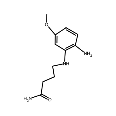 COc1ccc(N)c(NCCCC(N)=O)c1